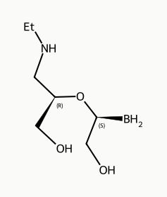 B[C@@H](CO)O[C@@H](CO)CNCC